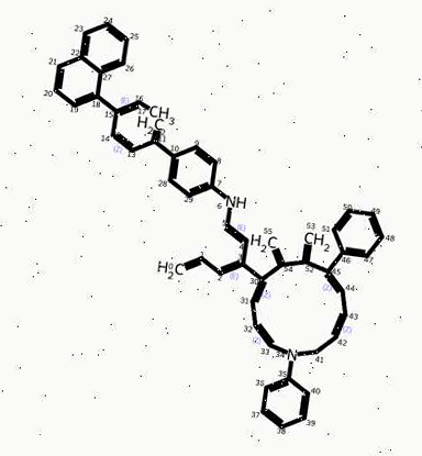 C=C/C=C(\C=C\Nc1ccc(C(=C)/C=C\C(=C/C)c2cccc3ccccc23)cc1)C1=C/C=C\N(c2ccccc2)C/C=C\C=C(\c2ccccc2)C(=C)C\1=C